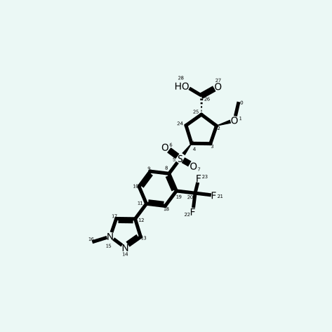 CO[C@H]1C[C@@H](S(=O)(=O)c2ccc(-c3cnn(C)c3)cc2C(F)(F)F)C[C@@H]1C(=O)O